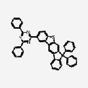 c1ccc(-c2nc(-c3ccccc3)nc(-c3ccc4sc5cc6c(cc5c4c3)-c3ccccc3C6(c3ccccc3)c3ccccc3)n2)cc1